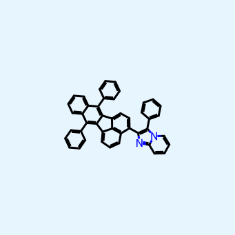 c1ccc(-c2c3c(c(-c4ccccc4)c4ccccc24)-c2ccc(-c4nc5ccccn5c4-c4ccccc4)c4cccc-3c24)cc1